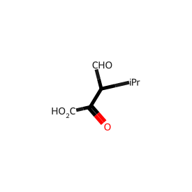 CC(C)C(C=O)C(=O)C(=O)O